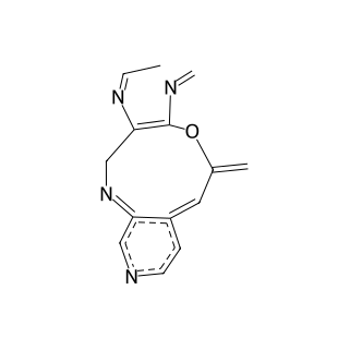 C=N/C1=C(\N=C/C)C/N=c2/cncc/c2=C/C(=C)O1